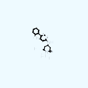 Cc1ccccc1-c1ccc(NC2CC(C)(C)NC(C)(C)C2)nn1